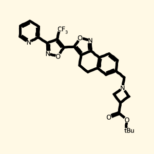 CC(C)(C)OC(=O)C1CN(Cc2ccc3c(c2)CCc2c-3noc2-c2onc(-c3ccccn3)c2C(F)(F)F)C1